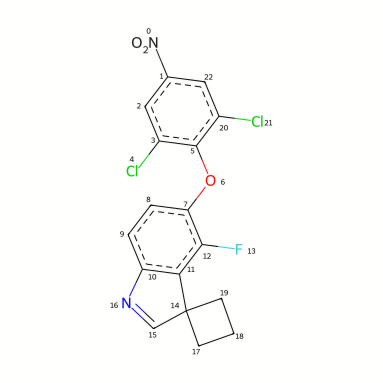 O=[N+]([O-])c1cc(Cl)c(Oc2ccc3c(c2F)C2(C=N3)CCC2)c(Cl)c1